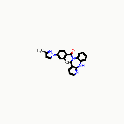 O=C(c1ccc(-n2ccc(C(F)(F)F)n2)cc1C(F)(F)F)N1Cc2cccnc2Nc2ccccc21